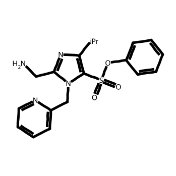 CC(C)c1nc(CN)n(Cc2ccccn2)c1S(=O)(=O)Oc1ccccc1